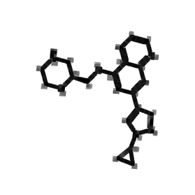 c1cnc2cc(-c3cnn(C4CC4)c3)cc(OC[C@@H]3CNCCO3)c2c1